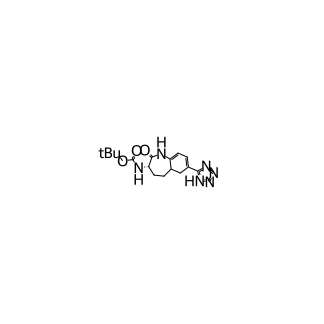 CC(C)(C)OC(=O)N[C@H]1CCC2CC(c3nnn[nH]3)=CC=C2NC1=O